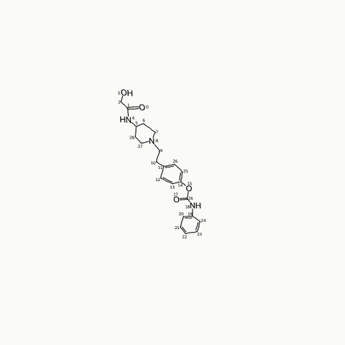 O=C(CO)NC1CCN(CCc2ccc(OC(=O)Nc3ccccc3)cc2)CC1